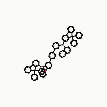 c1ccc(C2(c3ccccc3)c3ccccc3-c3ccc(N(c4cccc(-c5ccc(-c6ccc7c8ccccc8n(-c8cccc9c8C(c8ccccc8)(c8ccccc8)c8ccccc8-9)c7c6)cc5)c4)c4cccc5ccccc45)cc32)cc1